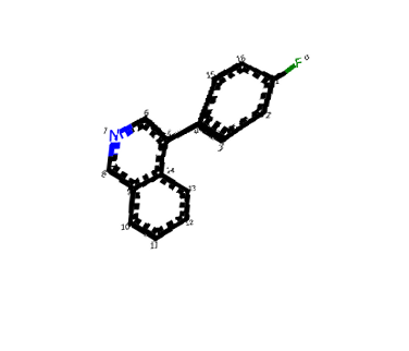 Fc1ccc(-c2cncc3ccccc23)cc1